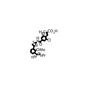 CCCO[C@H](CCC)c1cccc(-c2csc(NC(=O)c3cc(Cl)c(C=C(C)C(=O)O)c(Cl)c3)n2)c1OC